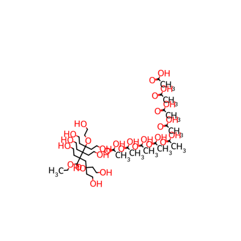 CC(=O)O.CC(=O)O.CC(=O)O.CC(=O)O.CC(=O)O.CC(=O)O.CC(=O)O.CC(=O)O.CC(=O)O.CCOC(=O)C(CCO)(CC(O)(CCO)CCO)C(CCO)(CCO)C(CCO)(CCO)OCCO